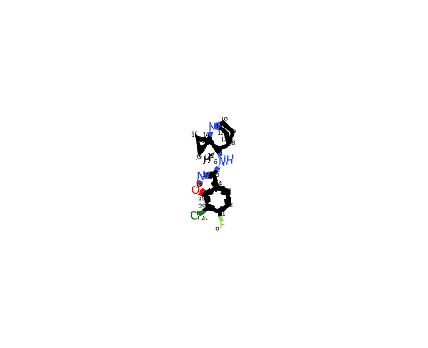 Fc1ccc2c(N[C@@H]3C4CCN(CC4)C34CC4)noc2c1Cl